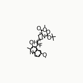 COC(=O)[C@@H]1C[C@H](C[C@H](F)c2c(O)c(C)nc3ccc(OC)cc23)CN1C(=O)OC(C)(C)C